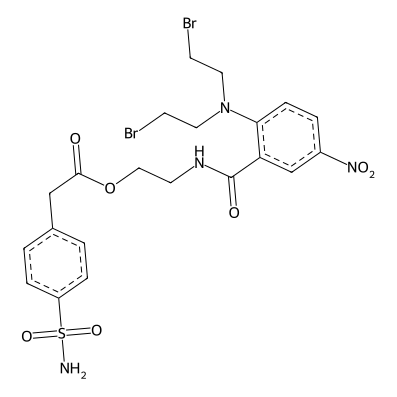 NS(=O)(=O)c1ccc(CC(=O)OCCNC(=O)c2cc([N+](=O)[O-])ccc2N(CCBr)CCBr)cc1